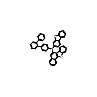 c1ccc(-c2ccccc2-c2ccc(N(c3ccc4c(c3)oc3ccccc34)c3cc4ccccc4c4oc5ccccc5c34)cc2)cc1